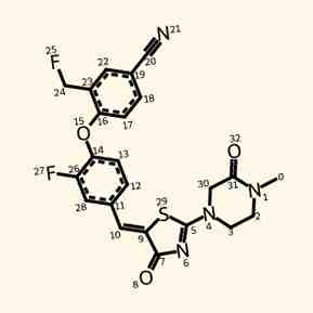 CN1CCN(C2=NC(=O)/C(=C/c3ccc(Oc4ccc(C#N)cc4CF)c(F)c3)S2)CC1=O